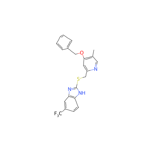 Cc1cnc(CSc2nc3cc(C(F)(F)F)ccc3[nH]2)cc1OCc1ccccc1